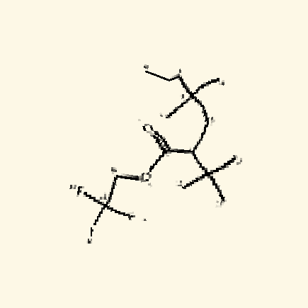 CCC(C)(C)CC(C(=O)OCC(F)(F)F)C(C)(C)C